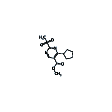 COC(=O)c1cnc(S(C)(=O)=O)nc1C1CCCC1